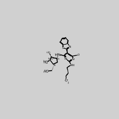 OC[C@H]1C[C@@H](Nc2nc(NCCCC(F)(F)F)nc(Cl)c2-c2nc3ccccc3s2)[C@H](O)[C@@H]1O